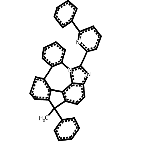 CC1(c2ccccc2)c2cccc3c2-c2c1ccc1nc(-c4cccc(-c5ccccc5)n4)n(c21)-c1ccccc1-3